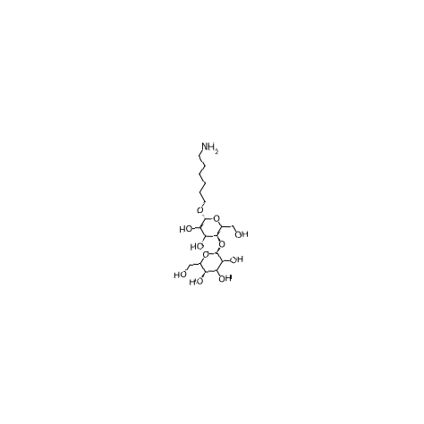 NCCCCCCO[C@@H]1OC(CO)[C@@H](O[C@@H]2OC(CO)[C@H](O)C(O)C2O)C(O)C1O